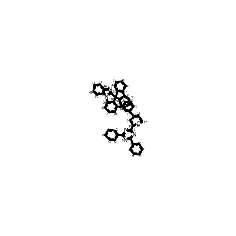 c1ccc(-c2nc(-c3ccccc3)nc(-c3cccc(-c4cccc(-c5cccc6c5C5(c7ccccc7-c7ccccc75)c5nc7ccccc7n5-6)c4)c3)n2)cc1